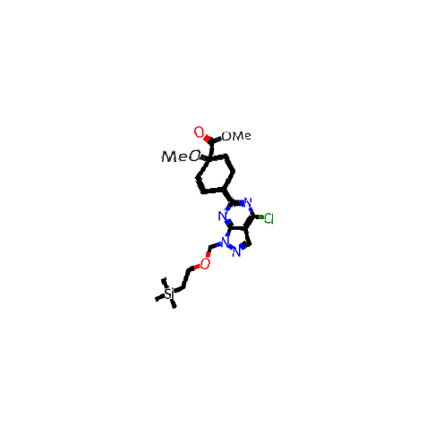 COC(=O)C1(OC)CCC(c2nc(Cl)c3cnn(COCC[Si](C)(C)C)c3n2)CC1